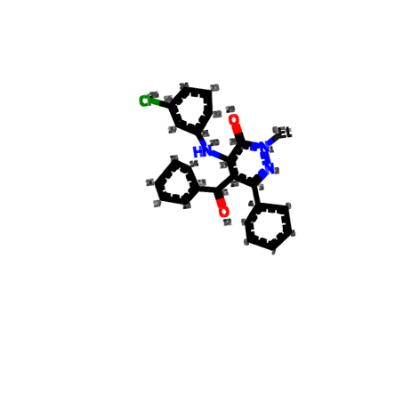 CCn1nc(-c2ccccc2)c(C(=O)c2ccccc2)c(Nc2cccc(Cl)c2)c1=O